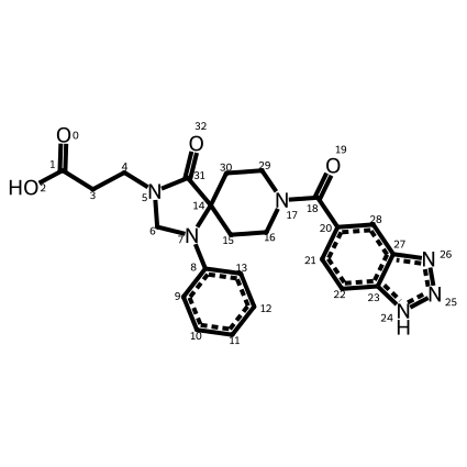 O=C(O)CCN1CN(c2ccccc2)C2(CCN(C(=O)c3ccc4[nH]nnc4c3)CC2)C1=O